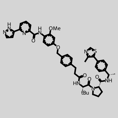 COc1cc(OCc2ccc(CCC(=O)N[C@H](C(=O)N3CCC[C@H]3C(=O)N[C@@H](C)c3ccc(-c4scnc4C)cc3)C(C)(C)C)cc2)ccc1NC(=O)c1cccc(-c2ccn[nH]2)n1